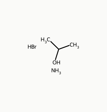 Br.CC(C)O.N